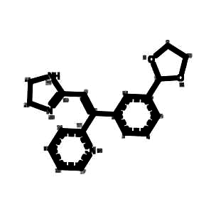 C(=C(c1cccc(C2OCCO2)c1)c1ccccn1)C1=NCCN1